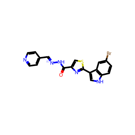 O=C(N/N=C/c1ccncc1)c1csc(-c2c[nH]c3ccc(Br)cc23)n1